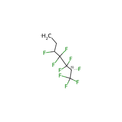 [CH2]CC(F)C(F)(F)C(F)(F)[C@H](F)C(F)(F)F